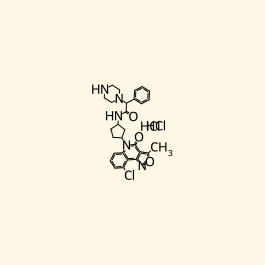 Cc1onc2c1c(=O)n(C1CCC(NC(=O)C(c3ccccc3)N3CCNCC3)C1)c1cccc(Cl)c21.Cl.Cl